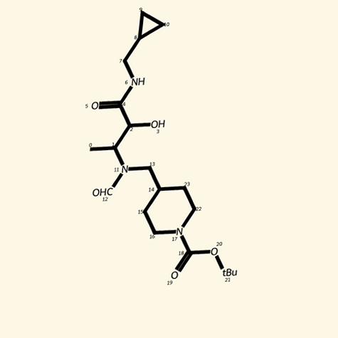 CC(C(O)C(=O)NCC1CC1)N(C=O)CC1CCN(C(=O)OC(C)(C)C)CC1